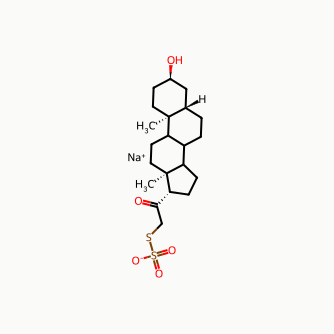 C[C@]12CCC3C(CC[C@H]4C[C@H](O)CC[C@]34C)C1CC[C@@H]2C(=O)CSS(=O)(=O)[O-].[Na+]